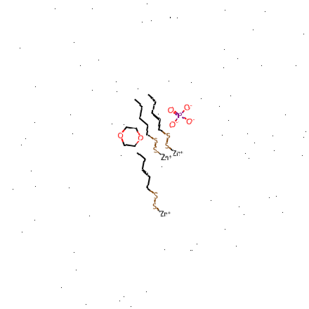 C1COCCO1.CCCCCS[S][Zn+].CCCCCS[S][Zn+].CCCCCS[S][Zn+].O=P([O-])([O-])[O-]